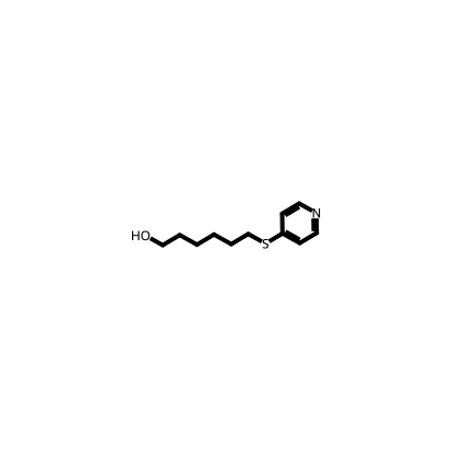 OCCCCCCSc1ccncc1